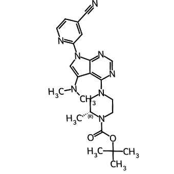 C[C@@H]1CN(c2ncnc3c2c(N(C)C)cn3-c2cc(C#N)ccn2)CCN1C(=O)OC(C)(C)C